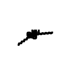 CCCCCCCCCCCC(=O)C(C)(NC)OC(=O)CCCCCCCCC